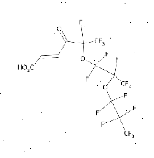 O=C(O)C=CC(=O)C(F)(OC(F)(F)C(F)(OC(F)(F)C(F)(F)C(F)(F)F)C(F)(F)F)C(F)(F)F